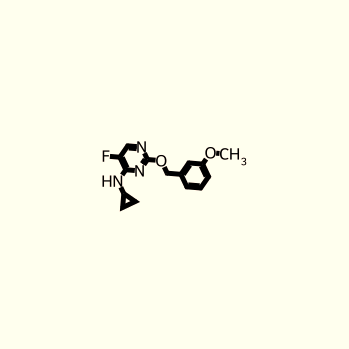 COc1cccc(COc2ncc(F)c(NC3CC3)n2)c1